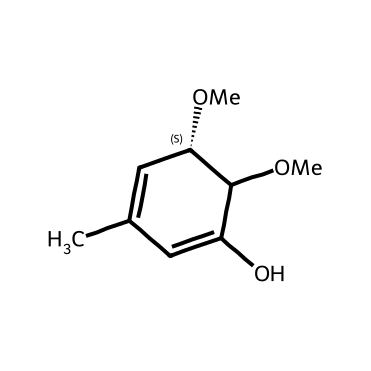 COC1C(O)=CC(C)=C[C@@H]1OC